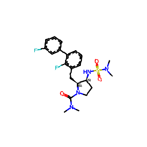 CN(C)C(=O)N1CC[C@H](NS(=O)(=O)N(C)C)[C@@H]1Cc1cccc(-c2cccc(F)c2)c1F